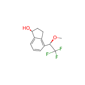 CO[C@H](c1cccc2c1CC[C@@H]2O)C(F)(F)F